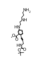 COC(=O)c1cc(NCCNCCCN)ccc1C#CCNC(=O)OC(C)(C)C